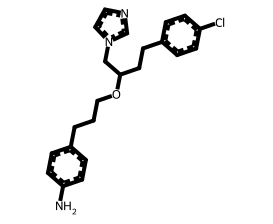 Nc1ccc(CCCOC(CCc2ccc(Cl)cc2)Cn2ccnc2)cc1